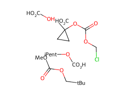 CCCC(C)OC(=O)O.COC(=O)OCC(C)(C)C.O=C(O)O.O=C(OCCl)OC1(C(=O)O)CC1